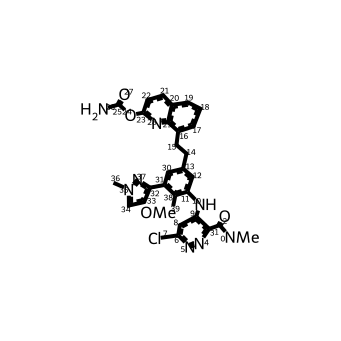 CNC(=O)c1nnc(Cl)cc1Nc1cc(CCc2cccc3ccc(OC(N)=O)nc23)cc(-c2ccn(C)n2)c1OC